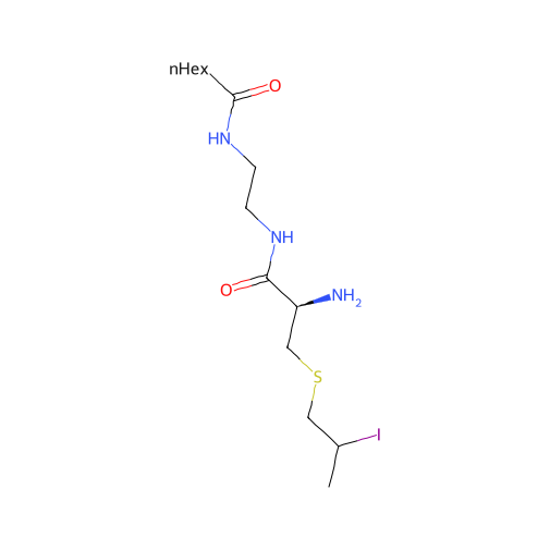 CCCCCCC(=O)NCCNC(=O)[C@@H](N)CSCC(C)I